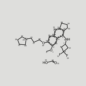 COc1cc2c(NC3CC(F)(F)C3)c3c(nc2cc1OCCCN1CCCC1)CCC3.O=CO